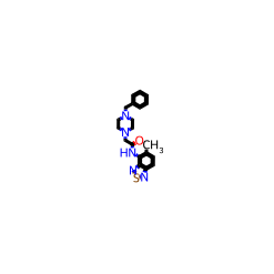 Cc1ccc2nsnc2c1NC(=O)CN1CCN(Cc2ccccc2)CC1